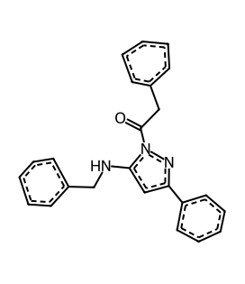 O=C(Cc1ccccc1)n1nc(-c2ccccc2)cc1NCc1ccccc1